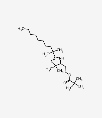 CCCCCCCCC(C)(C)C1=NC(C)(C)C(CCOC(=O)C(C)(C)C)N1